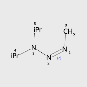 C/N=N\N(C(C)C)C(C)C